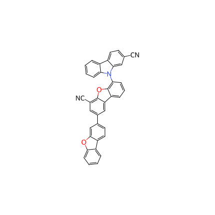 N#Cc1ccc2c3ccccc3n(-c3cccc4c3oc3c(C#N)cc(-c5ccc6c(c5)oc5ccccc56)cc34)c2c1